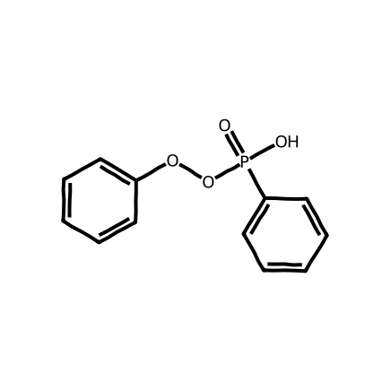 O=P(O)(OOc1ccccc1)c1ccccc1